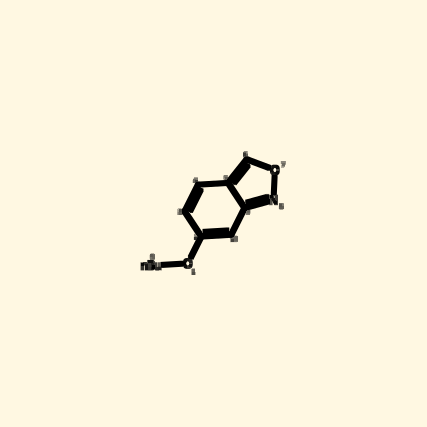 CCCCOc1ccc2conc2c1